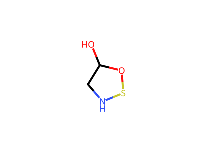 OC1CNSO1